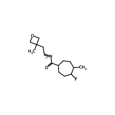 CC1CCC(C(=O)/N=C/CC2(C)COC2)CCC1F